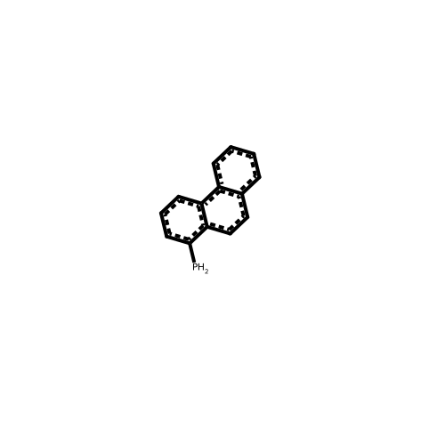 Pc1cccc2c1ccc1ccccc12